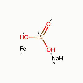 O=S(O)O.[Fe].[NaH]